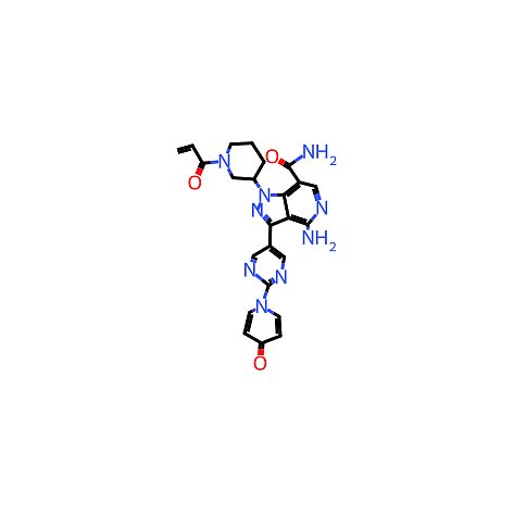 C=CC(=O)N1CCCC(n2nc(-c3cnc(-n4ccc(=O)cc4)nc3)c3c(N)ncc(C(N)=O)c32)C1